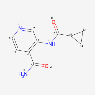 NC(=O)c1ccncc1NC(=O)C1CC1